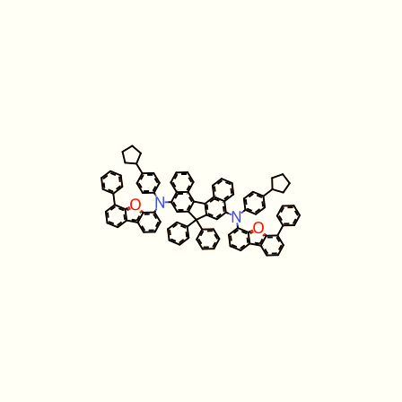 c1ccc(-c2cccc3c2oc2c(N(c4ccc(C5CCCC5)cc4)c4cc5c(c6ccccc46)-c4c(cc(N(c6ccc(C7CCCC7)cc6)c6cccc7c6oc6c(-c8ccccc8)cccc67)c6ccccc46)C5(c4ccccc4)c4ccccc4)cccc23)cc1